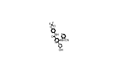 N#Cc1ccncc1Nc1cc(C(=O)Nc2ccc(OC(F)(F)Cl)cc2)cnc1N1CC[C@@H](O)C1